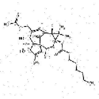 CCCCCCCC(=O)O[C@@]12CC(C)C34C=C(C)[C@H](O)[C@@]3(O)[C@H](O)C(COC(C)=O)=C[C@H](C4=O)[C@@H]1C2(C)C